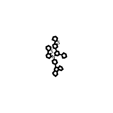 c1ccc(-c2cc(-c3ccc4c(c3)sc3ccccc34)cc(N(c3ccc(-c4cc5ccccc5c5ccccc45)cc3)c3cccc4c3sc3ccccc34)c2)cc1